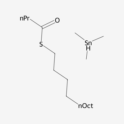 CCCCCCCCCCCCSC(=O)CCC.[CH3][SnH]([CH3])[CH3]